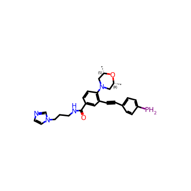 C[C@@H]1CN(c2ccc(C(=O)NCCCn3ccnc3)cc2C#Cc2ccc(P)cc2)C[C@H](C)O1